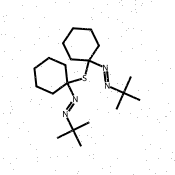 CC(C)(C)N=NC1(SC2(N=NC(C)(C)C)CCCCC2)CCCCC1